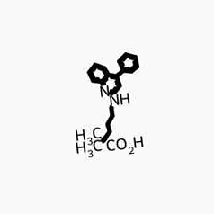 CC(C)(CCCCNc1cc(-c2ccccc2)c2ccccc2n1)C(=O)O